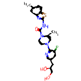 Cc1ccc2sc(NC(=O)N3CCN(c4ncc(C[C@H](O)CO)cc4F)C[C@@H]3C)nc2c1